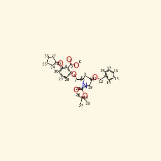 COC(=O)c1c(OC[C@H]2C[C@H](OCc3ccccc3)CN2C(=O)OC(C)(C)C)cccc1OC1CCCC1